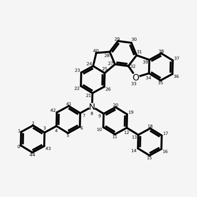 c1ccc(-c2ccc(N(c3ccc(-c4ccccc4)cc3)c3ccc4c(c3)-c3c(ccc5c3oc3ccccc35)C4)cc2)cc1